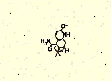 C/C=C1\[C@H]2C=C(C)C[C@]1(C(N)=O)C1=C(C2)NC(OC)C=C1